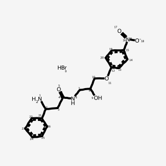 Br.NC(CC(=O)NCC(O)COc1ccc([N+](=O)[O-])cc1)c1ccccc1